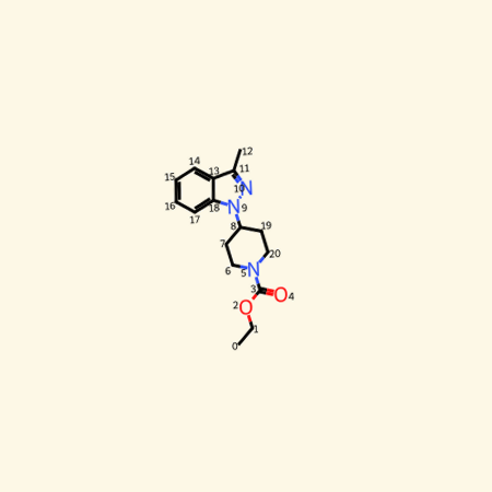 CCOC(=O)N1CCC(n2nc(C)c3ccccc32)CC1